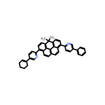 CC1(C)c2ccc(-c3ccc(C4=CCCCC4)cn3)c3ccc4ccc5c(-c6ccc(-c7ccccc7)cn6)ccc1c5c4c23